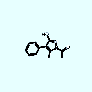 CC(=O)n1nc(O)c(-c2ccccc2)c1C